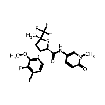 COc1c([C@@H]2C[C@](C)(C(F)(F)F)S[C@H]2C(=O)Nc2ccc(=O)n(C)c2)ccc(F)c1F